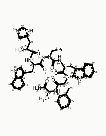 CC(C)CN(NC(=O)[C@@H](Cc1c[nH]c2ccccc12)NC(=O)[C@@H](N)Cc1cnc[nH]1)C(=O)N[C@@H](Cc1c[nH]c2ccccc12)C(=O)N[C@H](Cc1ccccc1)C(=O)N[C@@H](C)C(N)=O